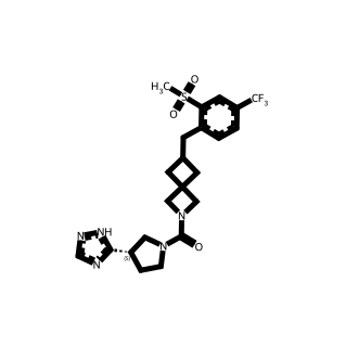 CS(=O)(=O)c1cc(C(F)(F)F)ccc1CC1CC2(C1)CN(C(=O)N1CC[C@H](c3ncn[nH]3)C1)C2